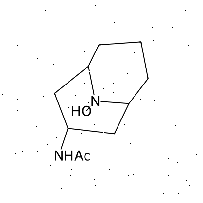 CC(=O)NC1CC2CCCC(C1)N2O